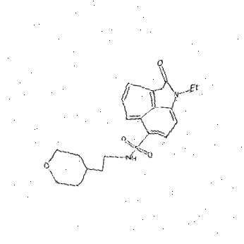 CCN1C(=O)c2cccc3c(S(=O)(=O)NCCC4CCOCC4)ccc1c23